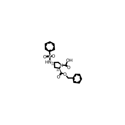 O=C(OCc1ccccc1)[C@H]1C[C@H](NS(=O)(=O)c2ccccc2)CN1C(=O)O